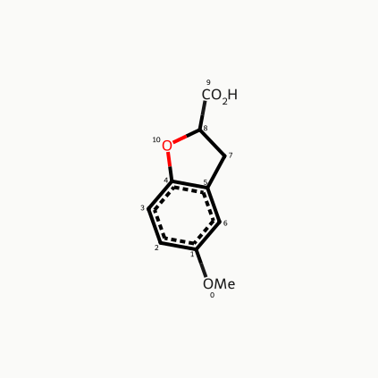 COc1ccc2c(c1)CC(C(=O)O)O2